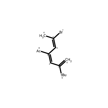 C=C(/C=C(\C=C(/C)Br)C(C)=O)C(C)(C)C